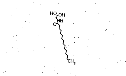 CCCCCCCCCCCCCCCC(=O)NCC(O)O